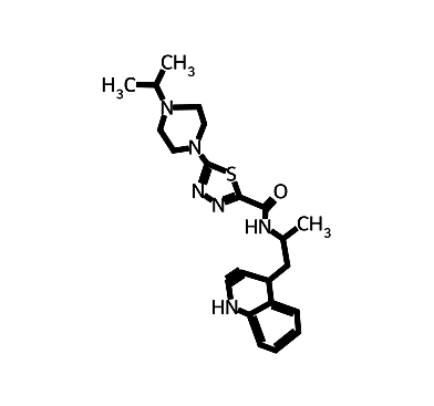 CC(CC1C#CNc2ccccc21)NC(=O)c1nnc(N2CCN(C(C)C)CC2)s1